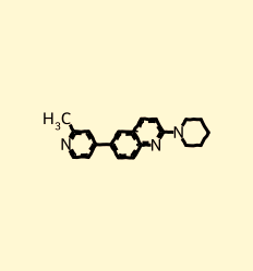 Cc1cc(-c2ccc3nc(N4CCCCC4)ccc3c2)ccn1